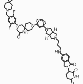 CC1(C)CCN(Cc2cc(F)c(N3CC(=O)NC4(CCN(c5cc(N6C[C@H]7CN(CCCNc8ccc9c(c8)CN(C8CCC(=O)NC8=O)C9=O)C[C@H]7C6)ncn5)CC4)C3)cc2F)CC1